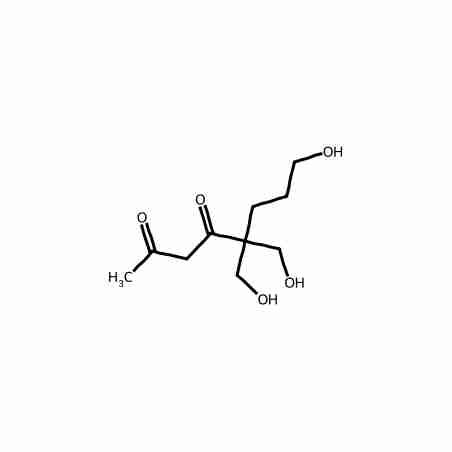 CC(=O)CC(=O)C(CO)(CO)CCCO